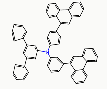 c1ccc(-c2cc(-c3ccccc3)cc(N(c3ccc(-c4cc5ccccc5c5ccccc45)cc3)c3cccc(-c4cc5ccccc5c5ccccc45)c3)c2)cc1